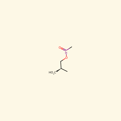 C[C@H](CO[PH](C)=O)C(=O)O